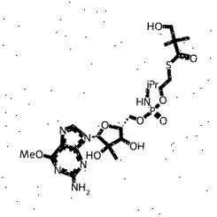 COc1nc(N)nc2c1ncn2[C@@H]1O[C@H](COP(=O)(NC(C)C)OCCSC(=O)C(C)(C)CO)C(O)C1(C)O